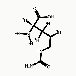 [2H]C(CNC(N)=O)C([2H])([2H])[C@@]([2H])(C(=O)O)N([2H])[2H]